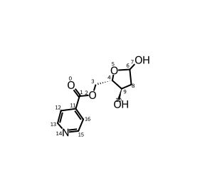 O=C(OC[C@@H]1OC(O)C[C@H]1O)c1ccncc1